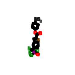 O=C(Oc1ccc([N+](=O)[O-])cc1)c1cc2cc(C(F)(F)P(=O)(Cl)Cl)ccc2s1